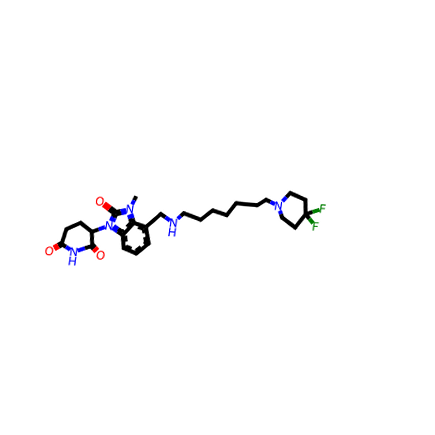 Cn1c(=O)n(C2CCC(=O)NC2=O)c2cccc(CNCCCCCCCN3CCC(F)(F)CC3)c21